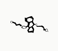 ClCCCOc1c2ccccc2c(OCCCCl)c2ccccc12